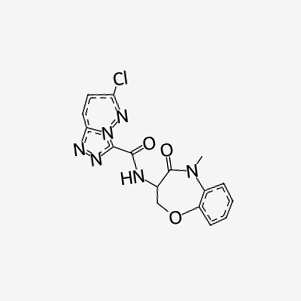 CN1C(=O)C(NC(=O)c2nnc3ccc(Cl)nn23)COc2ccccc21